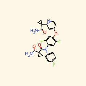 NC(=O)C1(C(=O)N(c2ccc(F)cc2)c2cc(F)c(Oc3ccnc(C4(C(N)=O)CC4)c3)cc2F)CC1